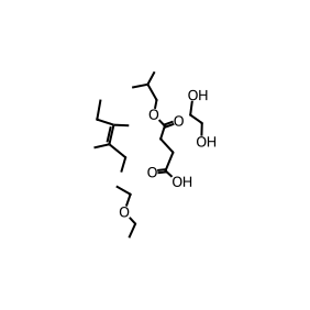 CC(C)COC(=O)CCC(=O)O.CC/C(C)=C(\C)CC.CCOCC.OCCO